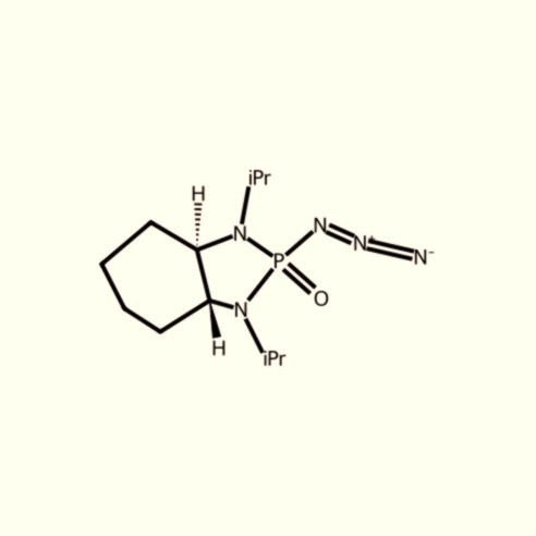 CC(C)N1[C@@H]2CCCC[C@H]2N(C(C)C)P1(=O)N=[N+]=[N-]